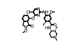 COc1cc(C(=O)N[C@H]2CCN(C)C[C@H]2F)c(F)cc1Nc1ncc(Cl)c(Oc2cccc3c2C(=O)N(OC)C3)n1